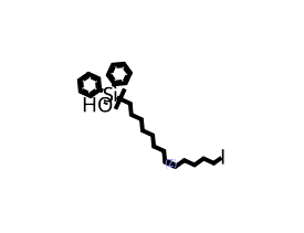 CC(C)(CCCCCCC/C=C\CCCCI)[Si](O)(c1ccccc1)c1ccccc1